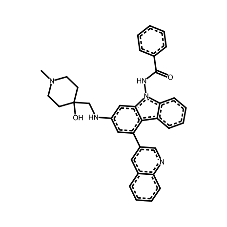 CN1CCC(O)(CNc2cc(-c3cnc4ccccc4c3)c3c4ccccc4n(NC(=O)c4ccccc4)c3c2)CC1